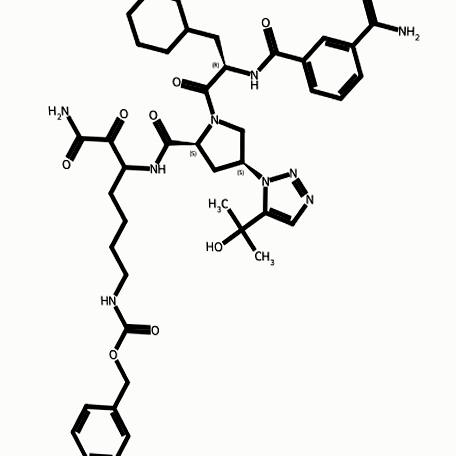 CC(C)(O)c1cnnn1[C@H]1C[C@@H](C(=O)NC(CCCCNC(=O)OCc2ccccc2)C(=O)C(N)=O)N(C(=O)[C@@H](CC2CCCCC2)NC(=O)c2cccc(C(N)=O)c2)C1